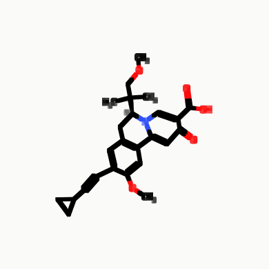 COCC(C)(C)[C@@H]1Cc2cc(C#CC3CC3)c(OC)cc2-c2cc(=O)c(C(=O)O)cn21